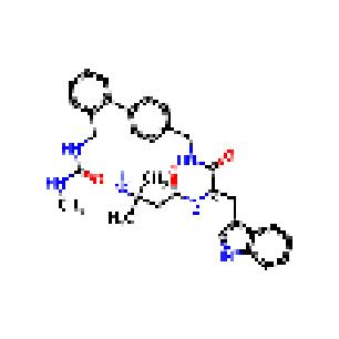 CNC(=O)NCc1ccccc1-c1ccc(CNC(=O)[C@@H](Cc2c[nH]c3ccccc23)NC(=O)CC(C)(C)N)cc1